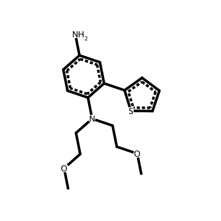 COCCN(CCOC)c1ccc(N)cc1-c1cccs1